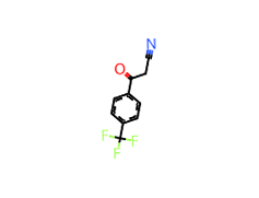 N#CCC(=O)c1ccc(C(F)(F)F)cc1